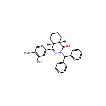 COc1ccc(C2=NN(C(c3ccccc3)c3ccccc3)C(=O)[C@H]3CCCC[C@@H]23)cc1OC